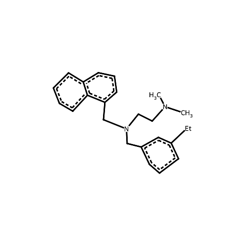 CCc1cccc(CN(CCN(C)C)Cc2cccc3ccccc23)c1